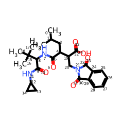 CC(C)CC(C(=O)NC(C(=O)NC1CC1)C(C)(C)C)C(CN1C(=O)c2ccccc2C1=O)C(=O)O